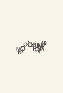 Cc1cc(Nc2ncnc3ccc(N4C5CC4CN(C(=O)OC(C)(C)C)C5)nc23)ccc1Oc1ccn2ncnc2c1